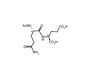 CC(=O)N[C@@H](CCC(N)=O)C(=O)N[C@@H](CCC(=O)O)C(=O)O